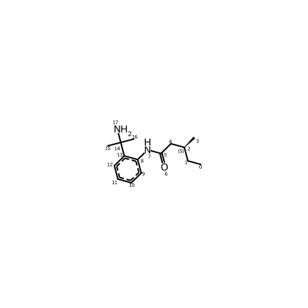 CC[C@H](C)CC(=O)Nc1ccccc1C(C)(C)N